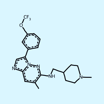 Cc1cc2ncc(-c3cccc(OC(F)(F)F)c3)n2nc1NCC1CCN(C)CC1